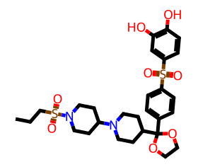 CCCS(=O)(=O)N1CCC(N2CCC(C3(c4ccc(S(=O)(=O)c5ccc(O)c(O)c5)cc4)OCCO3)CC2)CC1